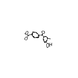 COC(=O)c1ccc(C(=O)c2ccc(O)c(C)c2)cc1